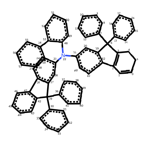 C1=CC2=C(CC1)C(c1ccccc1)(c1ccccc1)c1cc(N(c3ccc4c(c3)C(c3ccccc3)(c3ccccc3)c3ccccc3-4)c3ccccc3-c3ccccc3)ccc12